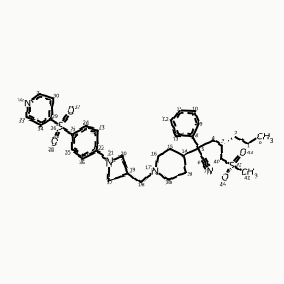 CCC[C@@H](CC(C#N)(c1ccccc1)C1CCN(CC2CN(c3ccc(S(=O)(=O)c4ccncc4)cc3)C2)CC1)CS(C)(=O)=O